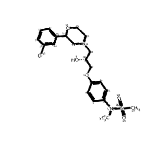 CN(c1ccc(OC[C@H](O)CN2CCOC(c3cccc(Cl)c3)C2)cc1)S(C)(=O)=O